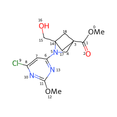 COC(=O)C12CN(c3cc(Cl)nc(OC)n3)C(CO)(C1)C2